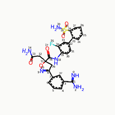 N=C(N)c1cccc(C2=NOC(CC(N)=O)(C(=O)Nc3ccc(-c4ccccc4S(N)(=O)=O)cc3F)C2)c1